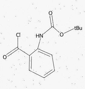 CC(C)(C)OC(=O)Nc1ccccc1C(=O)Cl